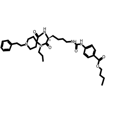 CCCCOC(=O)c1ccc(NC(=O)NCCCC[C@@H]2NC(=O)C3(CCN(CCc4ccccc4)CC3)N(CCC)C2=O)cc1